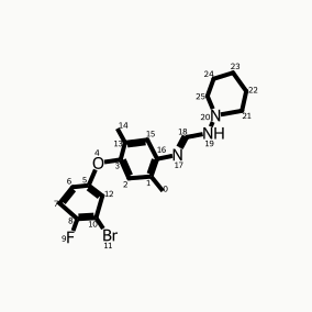 Cc1cc(Oc2ccc(F)c(Br)c2)c(C)cc1/N=C/NN1CCCCC1